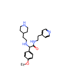 CCOc1ccc(C(NCCC2CCNCC2)C(=O)NCCc2ccncc2)cc1